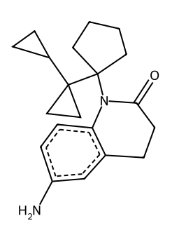 Nc1ccc2c(c1)CCC(=O)N2C1(C2(C3CC3)CC2)CCCC1